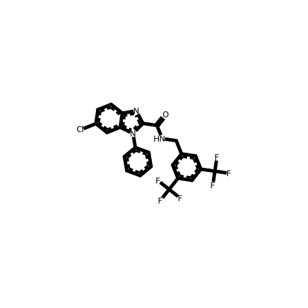 O=C(NCc1cc(C(F)(F)F)cc(C(F)(F)F)c1)c1nc2ccc(Cl)cc2n1-c1ccccc1